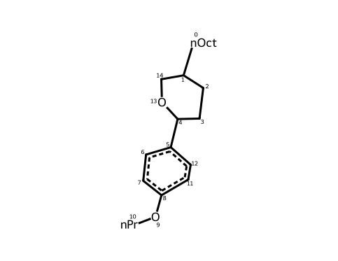 CCCCCCCCC1CCC(c2ccc(OCCC)cc2)OC1